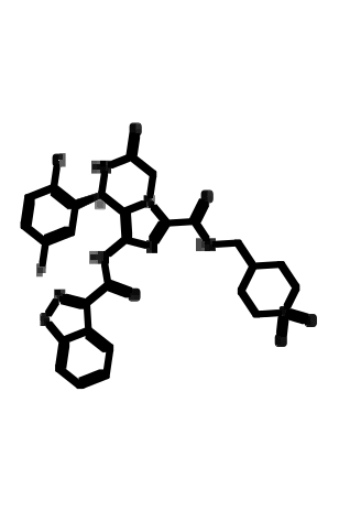 O=C1Cn2c(C(=O)NCC3CCS(=O)(=O)CC3)nc(NC(=O)c3nsc4ccccc34)c2[C@@H](c2cc(F)ccc2Cl)N1